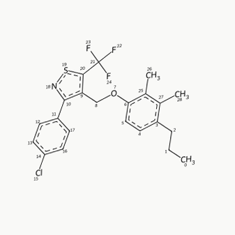 CCCc1ccc(OCc2c(-c3ccc(Cl)cc3)nsc2C(F)(F)F)c(C)c1C